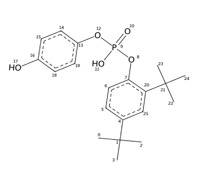 CC(C)(C)c1ccc(OP(=O)(O)Oc2ccc(O)cc2)c(C(C)(C)C)c1